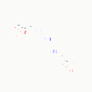 COc1cc(/C=C\C(O)NCCCNCCCCNC(=O)/C=C/c2ccc(O)c(OC)c2)ccc1O